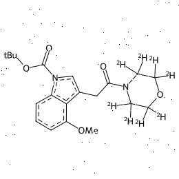 [2H]C1([2H])OC([2H])([2H])C([2H])([2H])N(C(=O)Cc2cn(C(=O)OC(C)(C)C)c3cccc(OC)c23)C1([2H])[2H]